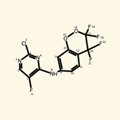 Fc1cnc(Cl)nc1Nc1ccc2c(c1)OOC(F)(F)C2(F)F